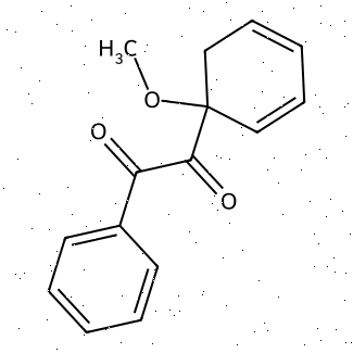 COC1(C(=O)C(=O)c2ccccc2)C=CC=CC1